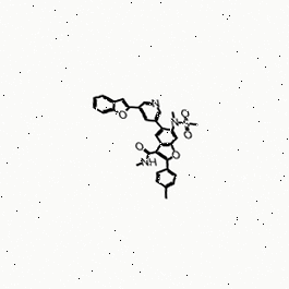 CNC(=O)c1c(-c2ccc(C)cc2)oc2cc(N(C)S(C)(=O)=O)c(-c3cncc(-c4cc5ccccc5o4)c3)cc12